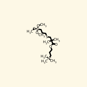 CO[Si](CCCSCC(C)(C)C(=O)OCCC[N+](C)(C)C)(OC)OC